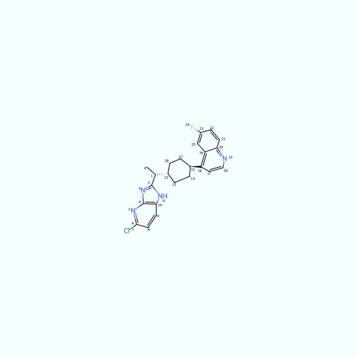 CC(c1nc2nc(Cl)ccc2[nH]1)[C@H]1CC[C@H](c2ccnc3ccc(F)cc32)CC1